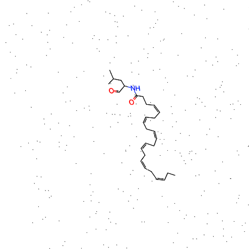 CC/C=C\C/C=C\C/C=C\C/C=C\C/C=C\C/C=C\CCC(=O)NC(C=O)CC(C)C